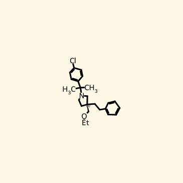 CCOC[C@@]1(CCc2ccccc2)CCN(C(C)(C)c2ccc(Cl)cc2)C1